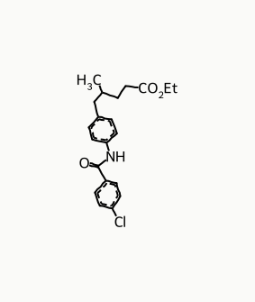 CCOC(=O)CCC(C)Cc1ccc(NC(=O)c2ccc(Cl)cc2)cc1